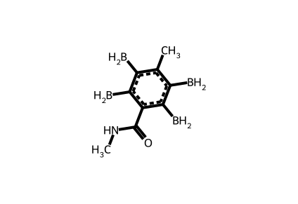 Bc1c(B)c(C(=O)NC)c(B)c(B)c1C